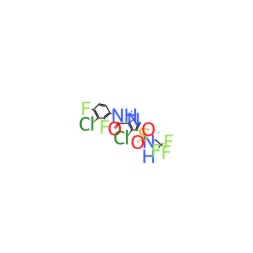 C[C@@H](NS(=O)(=O)c1cn(C)c(C(=O)Nc2ccc(F)c(Cl)c2F)c1Cl)C(F)(F)F